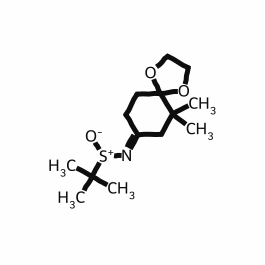 CC(C)(C)[S+]([O-])N=C1CCC2(OCCO2)C(C)(C)C1